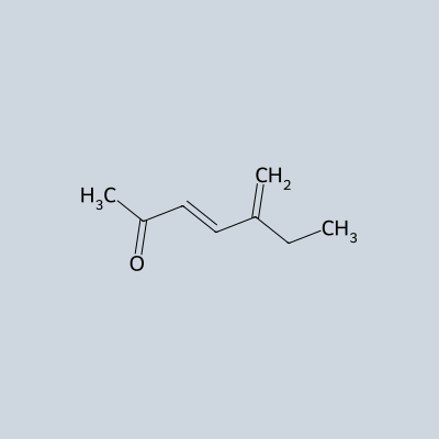 C=C(/C=C/C(C)=O)CC